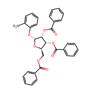 O=C(OC[C@H]1O[C@H](Oc2ccccc2[N+](=O)[O-])[C@H](OC(=O)c2ccccc2)[C@@H]1OC(=O)c1ccccc1)c1ccccc1